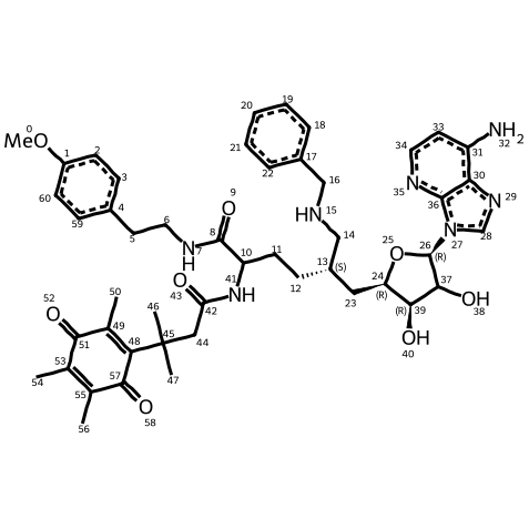 COc1ccc(CCNC(=O)C(CC[C@H](CNCc2ccccc2)C[C@H]2O[C@@H](n3cnc4c(N)ccnc43)C(O)[C@H]2O)NC(=O)CC(C)(C)C2=C(C)C(=O)C(C)=C(C)C2=O)cc1